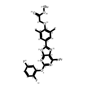 CCCc1nc(Oc2cc(F)ccc2F)nc2oc(-c3cc(C)c(OCC(=O)OC(C)(C)C)c(C)c3)nc12